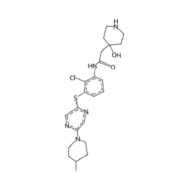 CC1CCN(c2cnc(Sc3cccc(NC(=O)CC4(O)CCNCC4)c3Cl)cn2)CC1